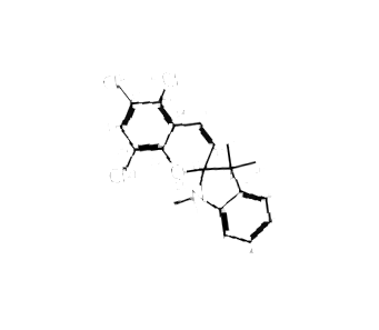 CN1c2ccccc2C(C)(C)C12C=Cc1c(Cl)c(Cl)cc(Cl)c1O2